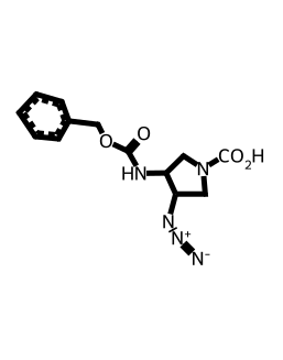 [N-]=[N+]=NC1CN(C(=O)O)CC1NC(=O)OCc1ccccc1